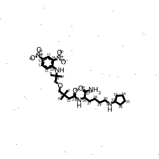 CC(C)(COCC(C)(C)Nc1ccc([N+](=O)[O-])cc1[N+](=O)[O-])CC(=O)NC(CCCCNC1CCCC1)C(N)=O